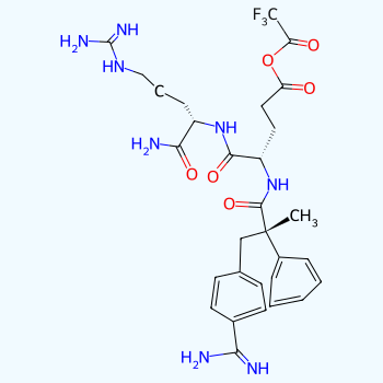 C[C@@](Cc1ccc(C(=N)N)cc1)(C(=O)N[C@@H](CCC(=O)OC(=O)C(F)(F)F)C(=O)N[C@@H](CCCNC(=N)N)C(N)=O)c1ccccc1